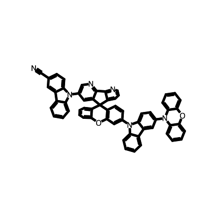 N#Cc1ccc2c(c1)c1ccccc1n2-c1cnc2c(c1)C1(c3ccccc3Oc3cc(-n4c5ccccc5c5cc(N6c7ccccc7Oc7ccccc76)ccc54)ccc31)c1cccnc1-2